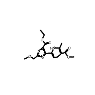 CCOC(=O)c1nc(COC)sc1C1=CCC(C(=O)OC)=C(C)N1